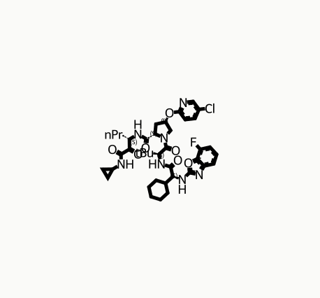 CCC[C@H](NC(=O)[C@@H]1C[C@@H](Oc2ccc(Cl)cn2)CN1C(=O)[C@@H](NC(=O)[C@@H](Nc1nc2cccc(F)c2o1)C1CCCCC1)C(C)(C)C)C(=O)C(=O)NC1CC1